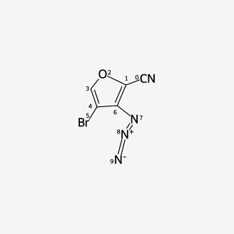 N#Cc1occ(Br)c1N=[N+]=[N-]